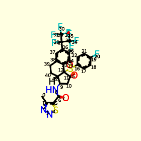 Cc1nnsc1C(=O)N[C@@H]1CC[C@@]2(S(=O)(=O)c3ccc(F)cc3)c3ccc(C(F)(C(F)(F)F)C(F)(F)F)cc3CC[C@@H]12